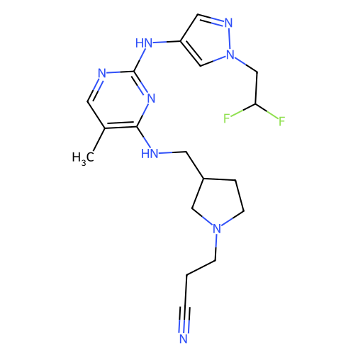 Cc1cnc(Nc2cnn(CC(F)F)c2)nc1NCC1CCN(CCC#N)C1